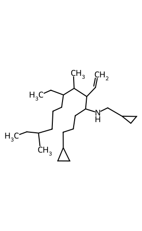 C=CC(C(CCCC1CC1)NCC1CC1)C(C)C(CC)CCCC(C)CC